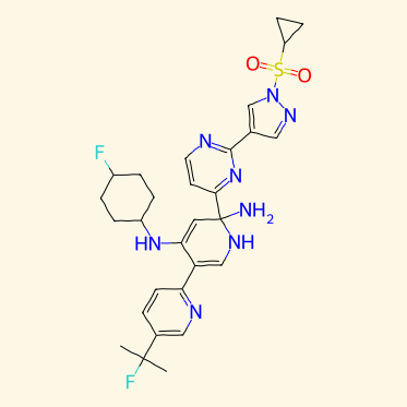 CC(C)(F)c1ccc(C2=CNC(N)(c3ccnc(-c4cnn(S(=O)(=O)C5CC5)c4)n3)C=C2NC2CCC(F)CC2)nc1